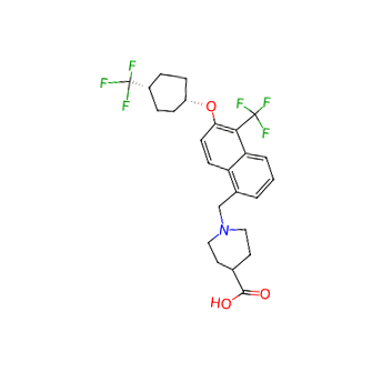 O=C(O)C1CCN(Cc2cccc3c(C(F)(F)F)c(O[C@H]4CC[C@@H](C(F)(F)F)CC4)ccc23)CC1